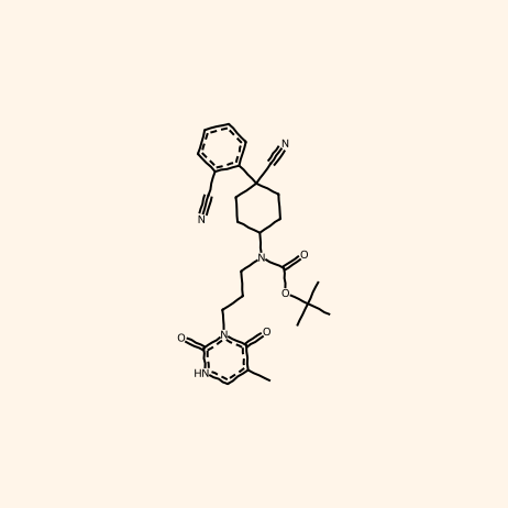 Cc1c[nH]c(=O)n(CCCN(C(=O)OC(C)(C)C)C2CCC(C#N)(c3ccccc3C#N)CC2)c1=O